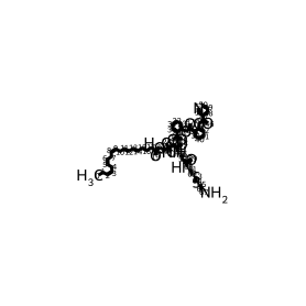 CC/C=C\C/C=C\C/C=C\C/C=C/C=C/CCCC(=O)OCC(C)(C)[C@@H](OC(=O)c1ccccc1OC(=O)c1ccccc1OC(=O)c1cccnc1)C(=O)NCCC(=O)NCCSSCCN